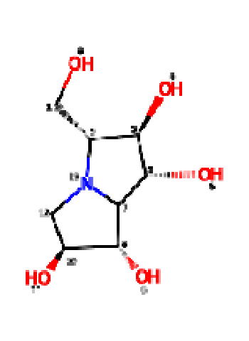 OC[C@@H]1[C@@H](O)[C@H](O)C2[C@H](O)[C@@H](O)CN21